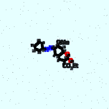 CCOC(=O)c1cc2cc(/N=N/c3ccccc3)c(OC)cc2oc1=O